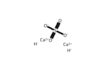 O=S(=O)([O-])[O-].[Ca+2].[Ca+2].[H-].[H-]